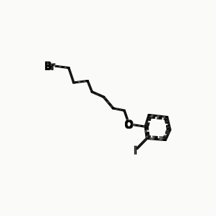 BrCCCCCCCOc1ccccc1I